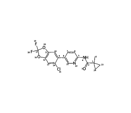 CC1(C(=O)Nc2ccc(-c3cc4c(cc3Cl)OC(F)(F)O4)cn2)CC1